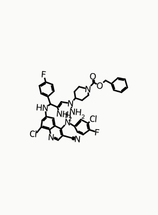 N#Cc1cnc2c(Cl)cc(NC(/C(N)=C/N(N)C3CCN(C(=O)OCc4ccccc4)CC3)c3ccc(F)cc3)cc2c1Nc1ccc(F)c(Cl)c1